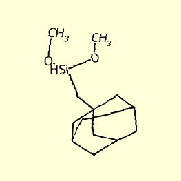 CO[SiH](CC12CC3CC(CC(C3)C1)C2)OC